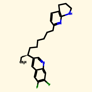 O=C(O)C[C@H](CCCCCCc1ccc2c(n1)NCCC2)c1cnc2cc(F)c(F)cc2c1